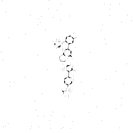 O=C(O)Nc1ccc(-c2[nH]c([C@@H]3CCc4nc(-c5cc(Cl)ccc5-n5cnnn5)cc(=O)n43)nc2F)nc1